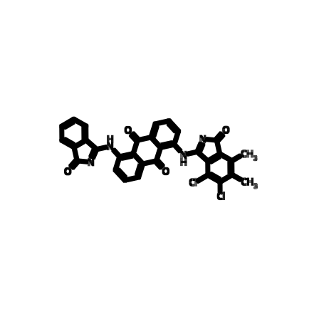 Cc1c(C)c2c(c(Cl)c1Cl)C(Nc1cccc3c1C(=O)c1cccc(NC4=NC(=O)c5ccccc54)c1C3=O)=NC2=O